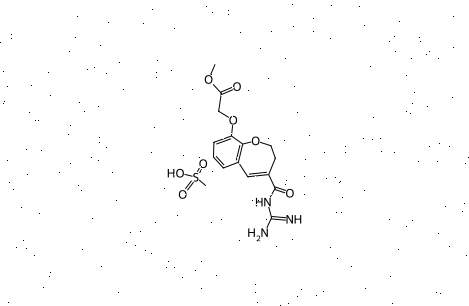 COC(=O)COc1cccc2c1OCCC(C(=O)NC(=N)N)=C2.CS(=O)(=O)O